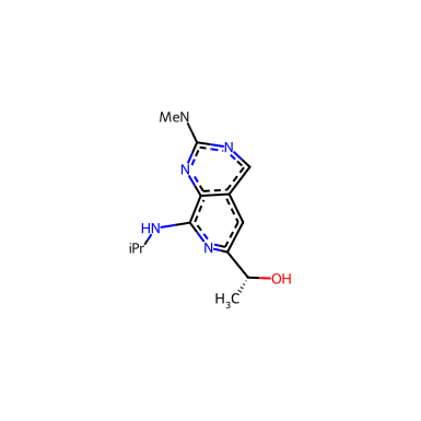 CNc1ncc2cc([C@@H](C)O)nc(NC(C)C)c2n1